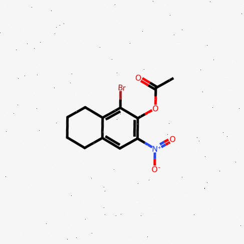 CC(=O)Oc1c([N+](=O)[O-])cc2c(c1Br)CCCC2